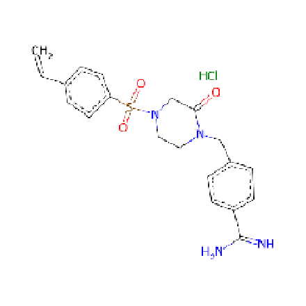 C=Cc1ccc(S(=O)(=O)N2CCN(Cc3ccc(C(=N)N)cc3)C(=O)C2)cc1.Cl